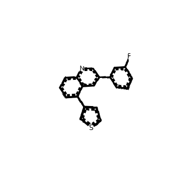 Fc1cccc(-c2cnc3cccc(-c4ccsc4)c3c2)c1